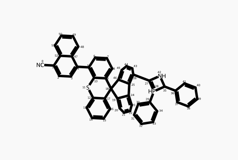 N#Cc1ccc(-c2cccc3c2Sc2ccccc2C32c3ccccc3-c3c(C4=[PH](c5ccccc5)C(c5ccccc5)N4)cccc32)c2ccccc12